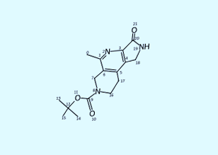 Cc1nc2c(c3c1CN(C(=O)OC(C)(C)C)CC3)CNC2=O